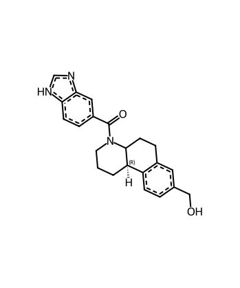 O=C(c1ccc2[nH]cnc2c1)N1CCC[C@@H]2c3ccc(CO)cc3CCC21